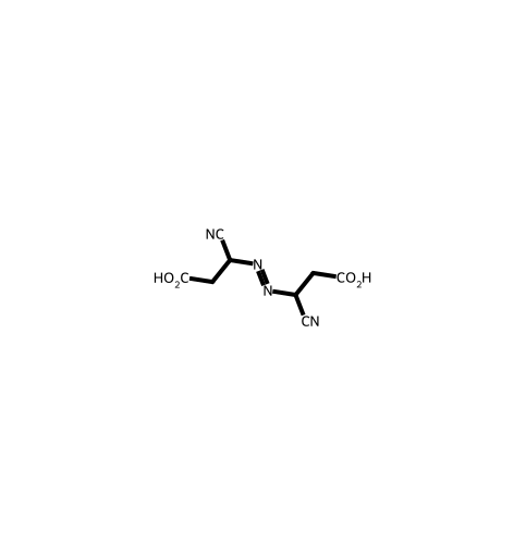 N#CC(CC(=O)O)/N=N/C(C#N)CC(=O)O